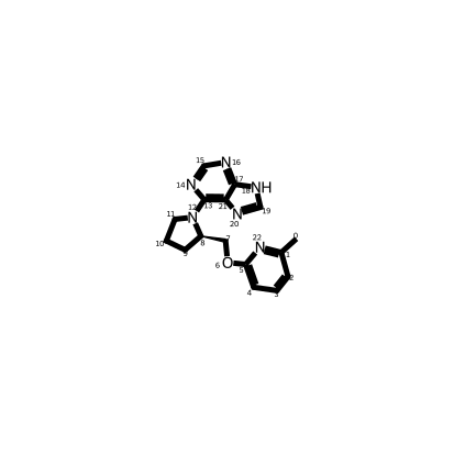 Cc1cccc(OC[C@H]2CCCN2c2ncnc3[nH]cnc23)n1